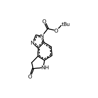 CC(C)(C)OC(=O)n1cnc2c3c(ccc21)NC(=O)C3